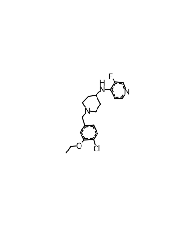 CCOc1cc(CN2CCC(Nc3ccncc3F)CC2)ccc1Cl